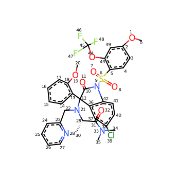 COc1ccc(S(=O)(=O)N2C(=O)C(c3ccccc3OC)(N(Cc3ccccn3)[C@@H](C)C(=O)N(C)C)c3cc(Cl)ccc32)c(OC(F)(F)F)c1